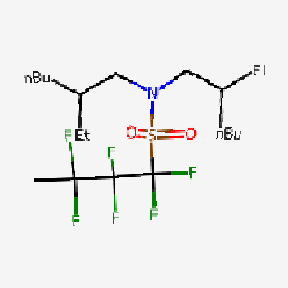 CCCCC(CC)CN(CC(CC)CCCC)S(=O)(=O)C(F)(F)C(F)(F)C(C)(F)F